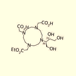 CCOC(=O)CN1CCN(CC(=O)O)CCN(CC(=O)O)CCN([C@H](CO)[C@H](O)CO)CC1